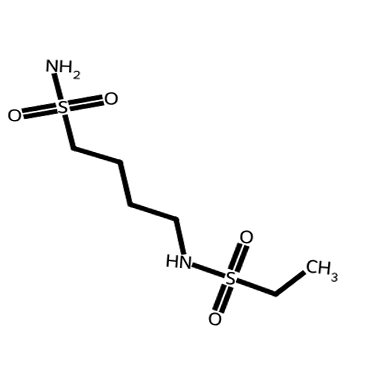 CCS(=O)(=O)NCCCCS(N)(=O)=O